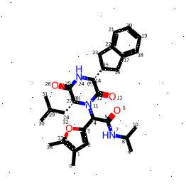 Cc1cc(C(C(=O)NC(C)C)N2C(=O)[C@@H](C3Cc4ccccc4C3)NC(=O)[C@H]2CC(C)C)oc1C